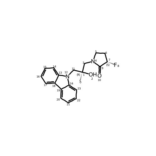 C[C@@](O)(CN1CC[C@H](F)C1=O)Cn1c2ccccc2c2ccccc21